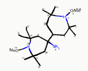 CON1C(C)(C)CC(C2(N)CC(C)(C)N(OC)C(C)(C)C2)CC1(C)C